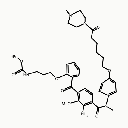 COc1c(C(=O)c2ccccc2OCCCNC(=O)OC(C)(C)C)ccc(C(=O)N(C)c2ccc(OCCCCCC(=O)N3CCN(C)CC3)cc2)c1N